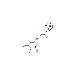 O=C(CCSc1cc(Cl)c(O)c(Cl)c1)N1CC2CCC(CC2)C1